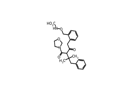 CC(C)(Cc1ccccc1)C(C(=O)Cc1ccccc1CONC(=O)O)C(=O)N1CCOC1